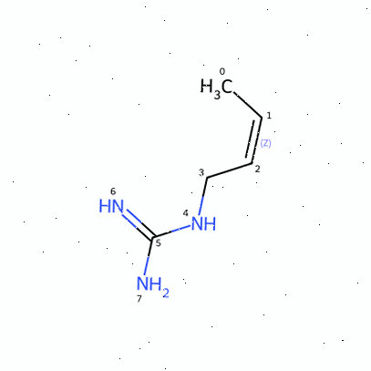 C/C=C\CNC(=N)N